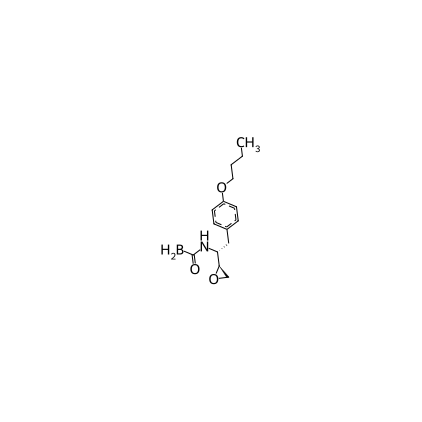 BC(=O)N[C@H](Cc1ccc(OCCCC)cc1)[C@H]1CO1